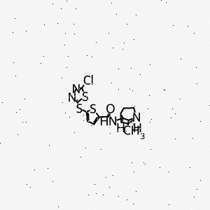 C[C@H]1[C@H](NC(=O)c2ccc(Sc3nnc(Cl)s3)s2)C2CCN1CC2